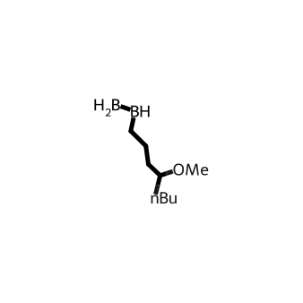 BBCCCC(CCCC)OC